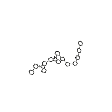 c1ccc(-c2ccc(-c3ccc(-c4cccc(-c5cccc(-c6ccc(-c7ccccc7-n7c8ccccc8c8cc(-c9ccc%10c(c9)c9ccccc9n%10-c9cccc(-c%10ccccc%10)c9)ccc87)cc6)c5)c4)cc3)cc2)cc1